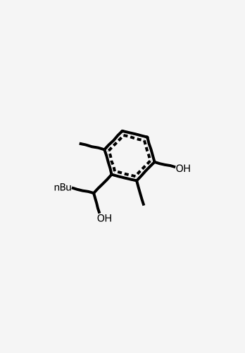 CCCCC(O)c1c(C)ccc(O)c1C